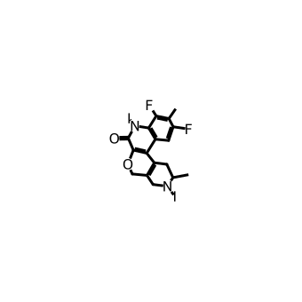 Cc1c(F)cc2c3c(c(=O)n(I)c2c1F)OCC1=C3CC(C)N(I)C1